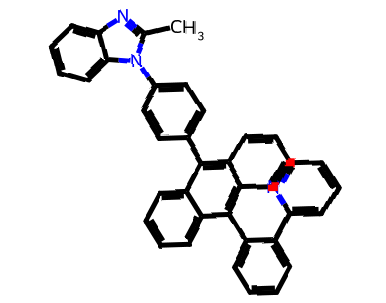 Cc1nc2ccccc2n1-c1ccc(-c2c3ccccc3c(-c3ccccc3-c3ccccn3)c3ccccc23)cc1